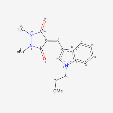 CCCCN1C(=O)/C(=C\c2cn(CCOC)c3ccccc23)C(=O)N1C